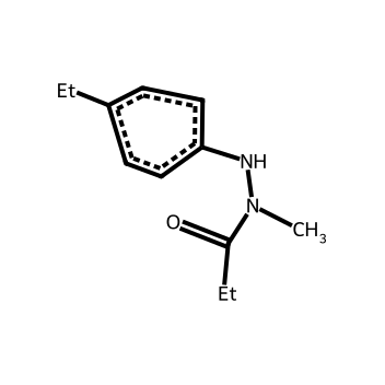 CCC(=O)N(C)Nc1ccc(CC)cc1